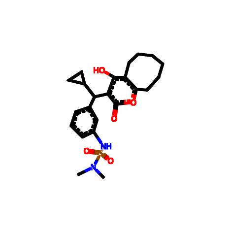 CN(C)S(=O)(=O)Nc1cccc(C(c2c(O)c3c(oc2=O)CCCCCC3)C2CC2)c1